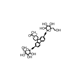 CC(=O)N1CCC2(CC1)c1cc(C#C[C@H]3O[C@H](CO)[C@@H](O)[C@H](O)[C@@H]3O)ccc1-c1ccc(C#C[C@H]3O[C@H](CCO)[C@@H](O)[C@H](O)[C@@H]3O)cc12